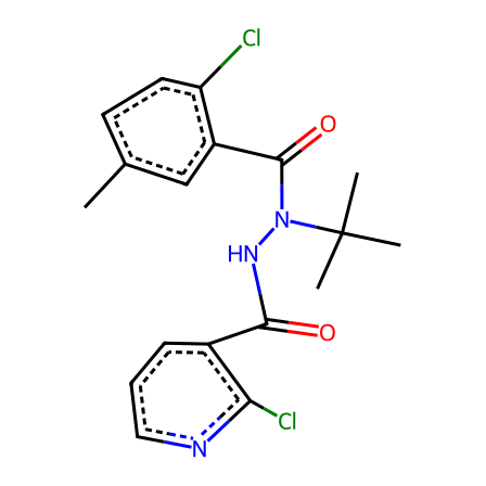 Cc1ccc(Cl)c(C(=O)N(NC(=O)c2cccnc2Cl)C(C)(C)C)c1